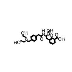 O=C(Cc1ccc(CN(CCO)CCO)cc1)N[C@H]1Cc2cccc(C(=O)O)c2OB1O